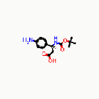 CC(C)(C)OC(=O)N[C@@H](CC(=O)O)c1ccc(N)cc1